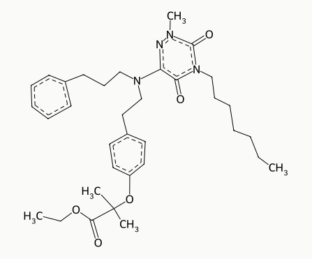 CCCCCCCn1c(=O)c(N(CCCc2ccccc2)CCc2ccc(OC(C)(C)C(=O)OCC)cc2)nn(C)c1=O